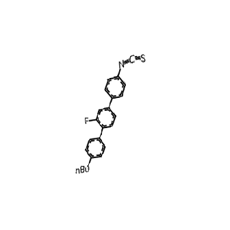 CCCCc1ccc(-c2ccc(-c3ccc(N=C=S)cc3)cc2F)cc1